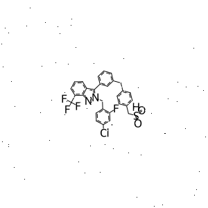 O=[SH](=O)Cc1ccc(Cc2cccc(-c3c4cccc(C(F)(F)F)c4nn3Cc3ccc(Cl)cc3F)c2)cc1